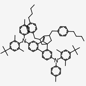 CCCCc1ccc(CC2CC34CC(Cc5ccc(CCCC)cc5)C2=C3c2cc(N(c3ccc(C)cc3)c3c(C)cc(C(C)(C)C)cc3C)ccc2-c2ccc(N(c3ccc(C)cc3)c3c(C)cc(C(C)(C)C)cc3C)cc24)cc1